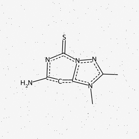 Cc1nn2c(=S)nc(N)cc2n1C